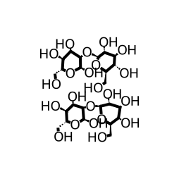 OC[C@H]1O[C@@H](O[C@@H]2[C@@H](O)[C@H](O)[C@@H](CO)O[C@@H]2O)[C@H](O)[C@@H](O)[C@@H]1O.OC[C@H]1O[C@@H](O[C@@H]2[C@@H](O)[C@H](O)[C@@H](CO)O[C@@H]2O)[C@H](O)[C@@H](O)[C@@H]1O